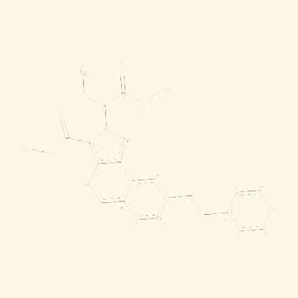 CC(C)(C)OC(=O)c1c(C(ON)C(=O)OC(C)(C)C)[nH]c2c1ccc1cnc(C=Cc3ccccc3)cc12